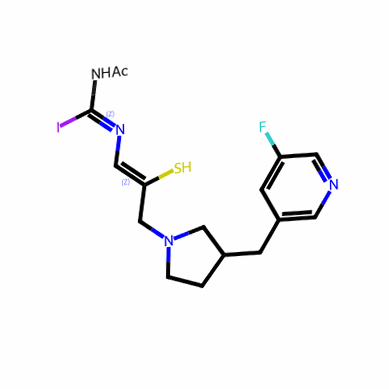 CC(=O)N/C(I)=N/C=C(\S)CN1CCC(Cc2cncc(F)c2)C1